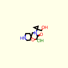 Cl.O=C1COC2(CCNCC2)CN1C1(CO)CC1